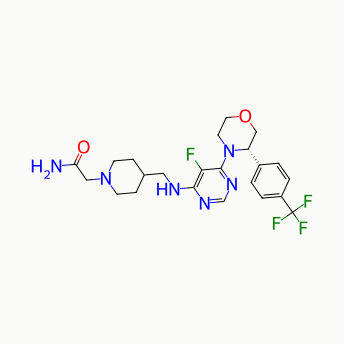 NC(=O)CN1CCC(CNc2ncnc(N3CCOC[C@@H]3c3ccc(C(F)(F)F)cc3)c2F)CC1